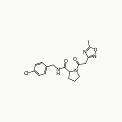 Cc1nc(CC(=O)N2CCCC2C(=O)NCc2ccc(Cl)cc2)no1